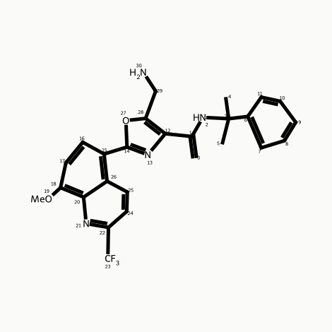 C=C(NC(C)(C)c1ccccc1)c1nc(-c2ccc(OC)c3nc(C(F)(F)F)ccc23)oc1CN